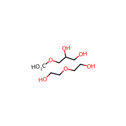 O=C(O)OCC(O)CO.OCCOCCO